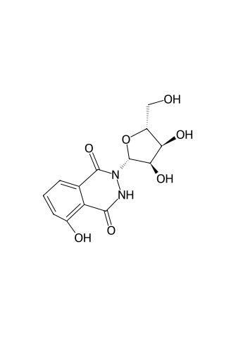 O=c1[nH]n([C@@H]2O[C@H](CO)[C@@H](O)[C@H]2O)c(=O)c2cccc(O)c12